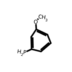 COc1cccc(P)c1